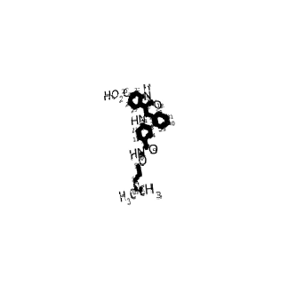 CN(C)CCCONC(=O)c1ccc(N/C(=C2/C(=O)Nc3cc(C(=O)O)ccc32)c2ccccc2)cc1